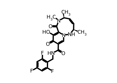 C[C@@H]1/C=C\[C@H](C)N(C)C(=O)c2c(O)c(=O)c(C(=O)NCc3c(F)cc(F)cc3F)cn2N1